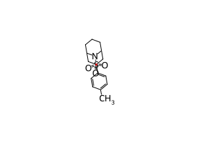 Cc1ccc(S(=O)(=O)N2C3CCCC2CC(=O)C3)cc1